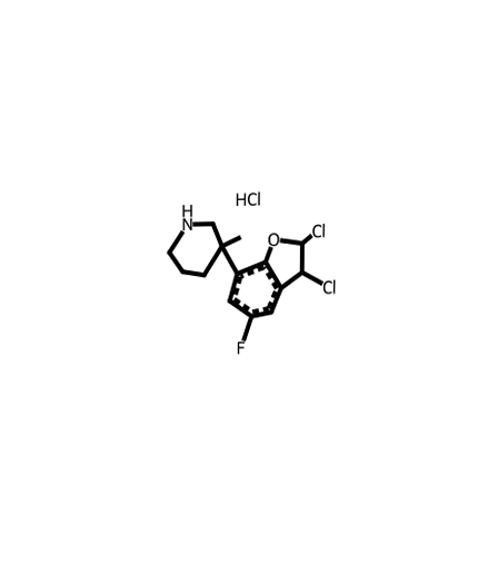 CC1(c2cc(F)cc3c2OC(Cl)C3Cl)CCCNC1.Cl